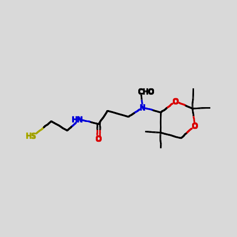 CC1(C)OCC(C)(C)C(N(C=O)CCC(=O)NCCS)O1